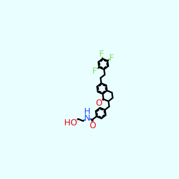 O=C(NCCO)c1ccc(CC2CCc3cc(CCc4cc(F)c(F)cc4F)ccc3C2=O)cc1